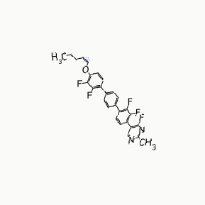 CCC/C=C\Oc1ccc(-c2ccc(-c3ccc(-c4cnc(C)nc4F)c(F)c3F)cc2)c(F)c1F